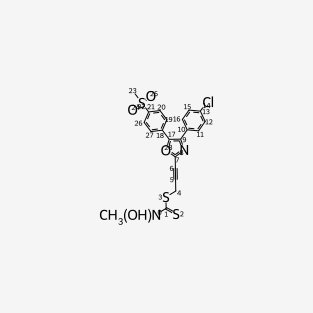 CN(O)C(=S)SCC#Cc1nc(-c2ccc(Cl)cc2)c(-c2ccc(S(C)(=O)=O)cc2)o1